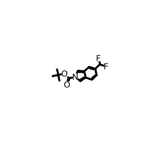 CC(C)(C)OC(=O)n1cc2ccc(C(F)F)cc2c1